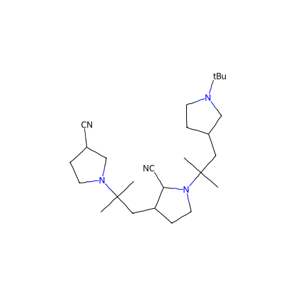 CC(C)(C)N1CCC(CC(C)(C)N2CCC(CC(C)(C)N3CCC(C#N)C3)C2C#N)C1